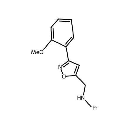 COc1ccccc1-c1cc(CNC(C)C)on1